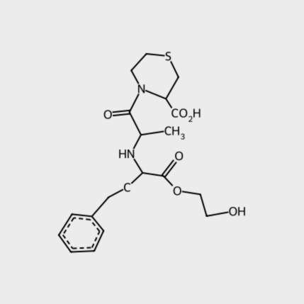 CC(NC(CCc1ccccc1)C(=O)OCCO)C(=O)N1CCSCC1C(=O)O